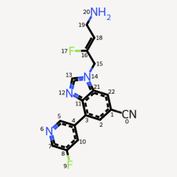 N#Cc1cc(-c2cncc(F)c2)c2ncn(CC(F)=CCN)c2c1